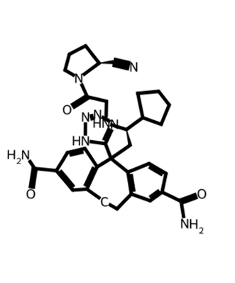 N#C[C@@H]1CCCN1C(=O)CN[C@H](CC1(c2nnn[nH]2)c2ccc(C(N)=O)cc2CCc2cc(C(N)=O)ccc21)C1CCCC1